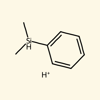 C[SiH](C)c1ccccc1.[H+]